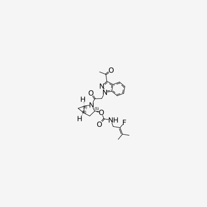 CC(=O)c1nn(CC(=O)N2[C@@H](OC(=O)NCC(F)=C(C)C)C[C@H]3C[C@H]32)c2ccccc12